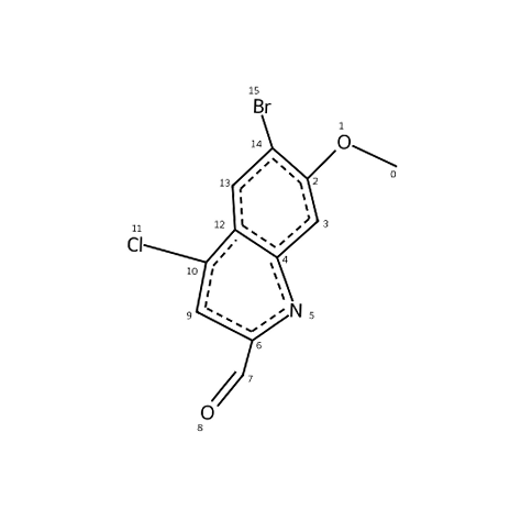 COc1cc2nc(C=O)cc(Cl)c2cc1Br